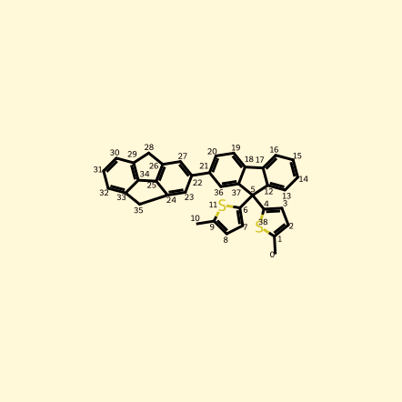 Cc1ccc(C2(c3ccc(C)s3)c3ccccc3-c3ccc(-c4cc5c6c(c4)Cc4cccc(c4-6)C5)cc32)s1